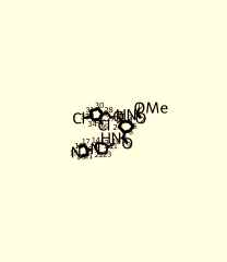 COC(=O)Nc1ccc(C(=O)NCC2CCN(c3ccncc3)CC2)cc1OCCc1ccc(Cl)cc1Cl